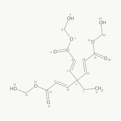 CCC(C=CC(=O)OCO)(C=CC(=O)OCO)C=CC(=O)OCO